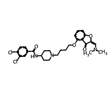 CN(C)C=C1Oc2cccc(OCCCCN3CCC(NC(=O)c4ccc(Cl)c(Cl)c4)CC3)c2C1=O